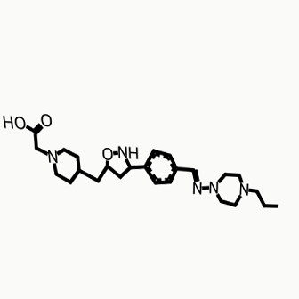 CCCN1CCN(N=Cc2ccc(C3CC(CC4CCN(CC(=O)O)CC4)ON3)cc2)CC1